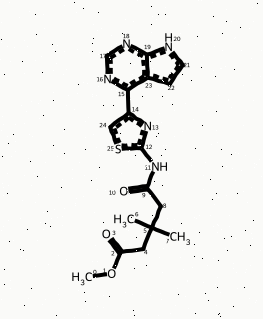 COC(=O)CC(C)(C)CC(=O)Nc1nc(-c2ncnc3[nH]ccc23)cs1